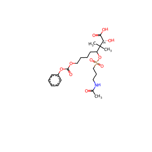 CC(=O)NCCCS(=O)(=O)OC(CCCCOC(=O)Oc1ccccc1)C(C)(C)[C@@H](O)C(=O)O